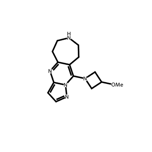 COC1CN(c2c3c(nc4ccnn24)CCNCC3)C1